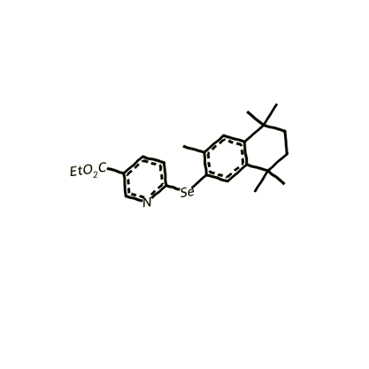 CCOC(=O)c1ccc([Se]c2cc3c(cc2C)C(C)(C)CCC3(C)C)nc1